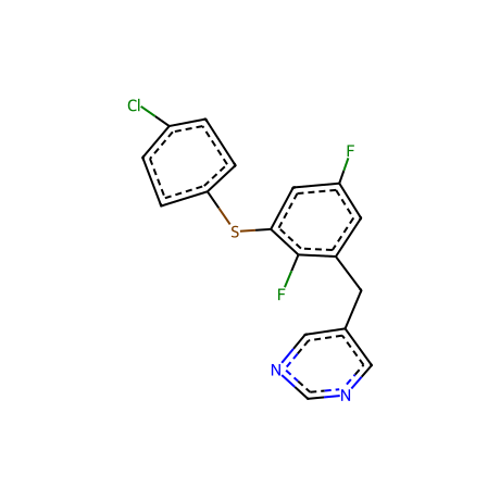 Fc1cc(Cc2cncnc2)c(F)c(Sc2ccc(Cl)cc2)c1